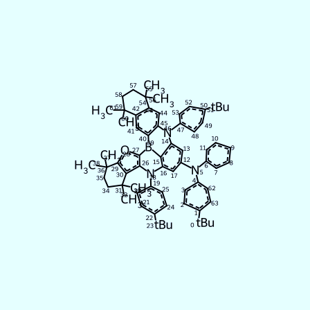 CC(C)(C)c1ccc(N(c2ccccc2)c2cc3c4c(c2)N(c2ccc(C(C)(C)C)cc2)c2c(oc5c2C(C)(C)CCC5(C)C)B4c2cc4c(cc2N3c2ccc(C(C)(C)C)cc2)C(C)(C)CCC4(C)C)cc1